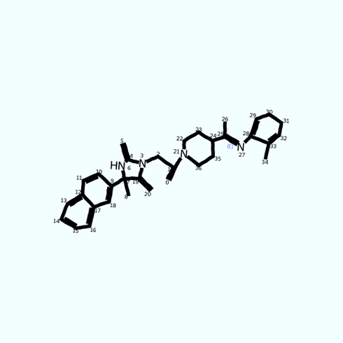 C=C(CN1C(=C)NC(C)(c2ccc3ccccc3c2)C1=C)N1CCC(/C(C)=N/C2=CCCC=C2C)CC1